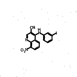 N#Cc1cnc2c([N+](=O)[O-])cccc2c1Nc1cccc(I)c1